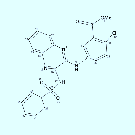 COC(=O)c1cc(Nc2nc3ccccc3nc2NS(=O)(=O)C2C=CC=CC2)ccc1Cl